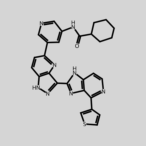 O=C(Nc1cncc(-c2ccc3[nH]nc(-c4nc5c(-c6ccsc6)nccc5[nH]4)c3n2)c1)C1CCCCC1